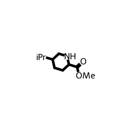 COC(=O)C1CCC(C(C)C)CN1